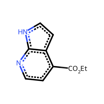 CCOC(=O)c1ccnc2[nH]ccc12